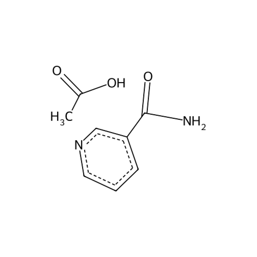 CC(=O)O.NC(=O)c1cccnc1